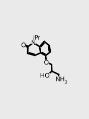 CC(C)n1c(=O)ccc2c(OCC(O)CN)cccc21